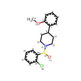 COc1ccccc1C1CCN([S+]([O-])c2ccccc2Cl)CC1